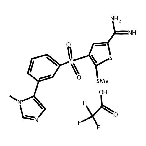 CSc1sc(C(=N)N)cc1S(=O)(=O)c1cccc(-c2cncn2C)c1.O=C(O)C(F)(F)F